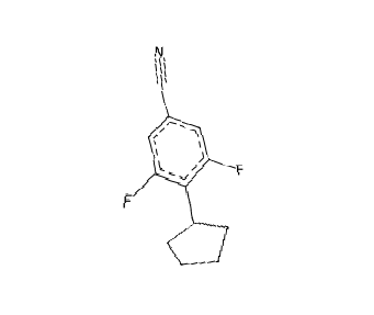 N#Cc1cc(F)c(C2CCCC2)c(F)c1